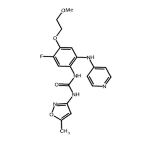 COCCOc1cc(Nc2ccncc2)c(NC(=O)Nc2cc(C)on2)cc1F